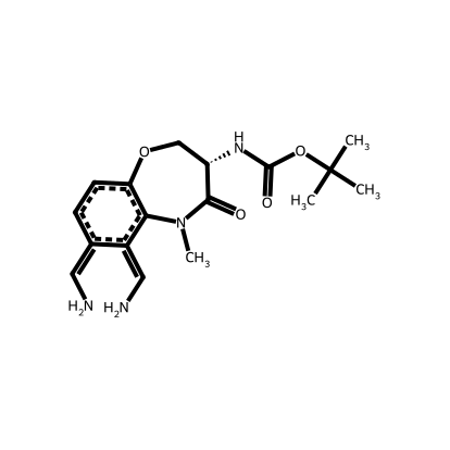 CN1C(=O)[C@@H](NC(=O)OC(C)(C)C)COc2ccc(=C/N)/c(=C\N)c21